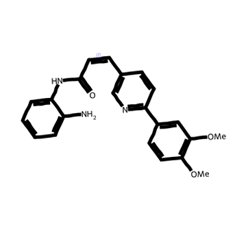 COc1ccc(-c2ccc(/C=C\C(=O)Nc3ccccc3N)cn2)cc1OC